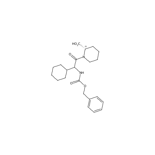 O=C(NC(C(=O)N1CCCC[C@H]1C(=O)O)C1CCCCC1)OCc1ccccc1